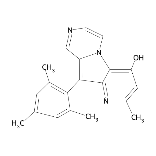 Cc1cc(C)c(-c2c3nc(C)cc(O)c3n3ccncc23)c(C)c1